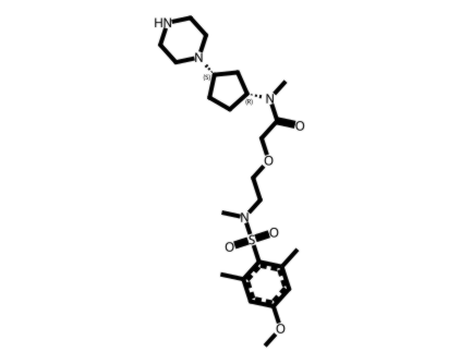 COc1cc(C)c(S(=O)(=O)N(C)CCOCC(=O)N(C)[C@@H]2CC[C@H](N3CCNCC3)C2)c(C)c1